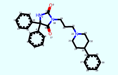 O=C1NC(c2ccccc2)(c2ccccc2)C(=O)N1CCCN1CCC(c2ccccc2)CC1